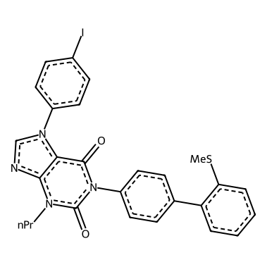 CCCn1c(=O)n(-c2ccc(-c3ccccc3SC)cc2)c(=O)c2c1ncn2-c1ccc(I)cc1